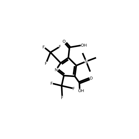 C[Si](C)(C)c1c(C(=O)O)c(C(F)(F)F)nc(C(F)(F)F)c1C(=O)O